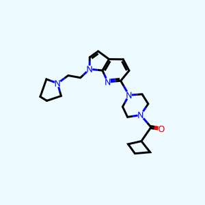 O=C(C1CCC1)N1CCN(c2ccc3ccn(CCN4CCCC4)c3n2)CC1